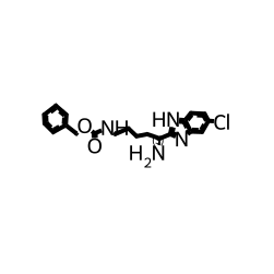 N[C@@H](CCCCNC(=O)OCc1ccccc1)c1nc2cc(Cl)ccc2[nH]1